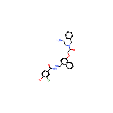 NCCN(Cc1ccccc1)C(=O)COc1ccc(/C=N/NC(=O)c2ccc(O)c(Cl)c2)c2ccccc12